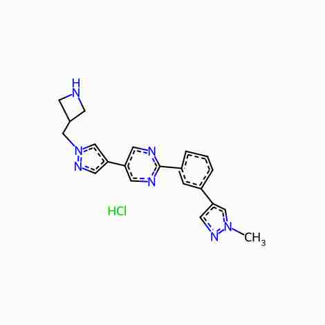 Cl.Cn1cc(-c2cccc(-c3ncc(-c4cnn(CC5CNC5)c4)cn3)c2)cn1